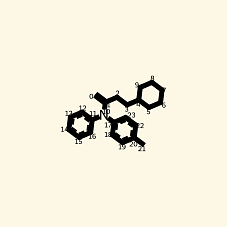 C=C(CCC1CCCCC1)N(c1ccccc1)c1ccc(C)cc1